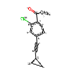 COC(=O)c1ccc(C#CC2CC2)cc1Cl